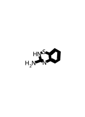 NC1=Nc2ccccc2SN1